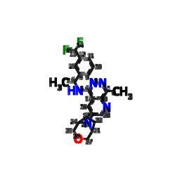 Cc1nnc(NC(C)c2cccc(C(F)F)c2)c2cc(N3C4CCC3COC4)cnc12